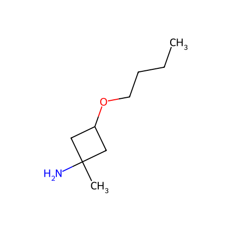 CCCCOC1CC(C)(N)C1